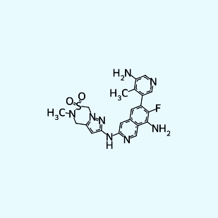 Cc1c(N)cncc1-c1cc2cc(Nc3cc4n(n3)CS(=O)(=O)N(C)C4)ncc2c(N)c1F